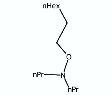 CCCCCCCCON(CCC)CCC